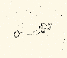 C(=CC1CCC(Nc2ncnc3[nH]ncc23)CC1)CCc1ccccc1